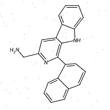 NCc1cc2c([nH]c3ccccc32)c(-c2cccc3ccccc23)n1